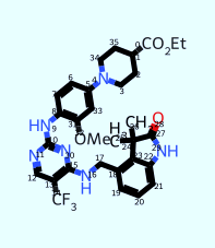 CCOC(=O)C1CCN(c2ccc(Nc3ncc(C(F)(F)F)c(NCc4cccc5c4C(C)(C)C(=O)N5)n3)c(OC)c2)CC1